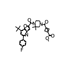 COC(=O)C12CC(C(=O)N3CCN(C(=O)c4cc5nc(-c6ccc(F)cc6)cc(C(C)(C)C)c5o4)C(C)(C)C3)(C1)C2